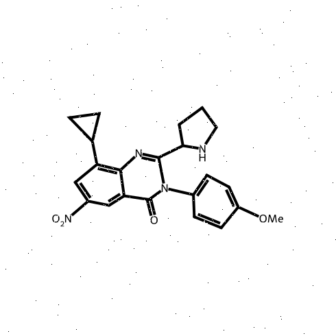 COc1ccc(-n2c(C3CCCN3)nc3c(C4CC4)cc([N+](=O)[O-])cc3c2=O)cc1